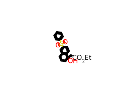 CCOC(=O)CC1(O)CCCc2cc(S(=O)(=O)c3ccccc3)ccc21